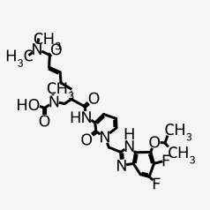 CC(C)Oc1c(F)c(F)cc2nc(Cn3cccc(NC(=O)[C@@H](CC/C=C/C(=O)N(C)C)CN(C)C(=O)O)c3=O)[nH]c12